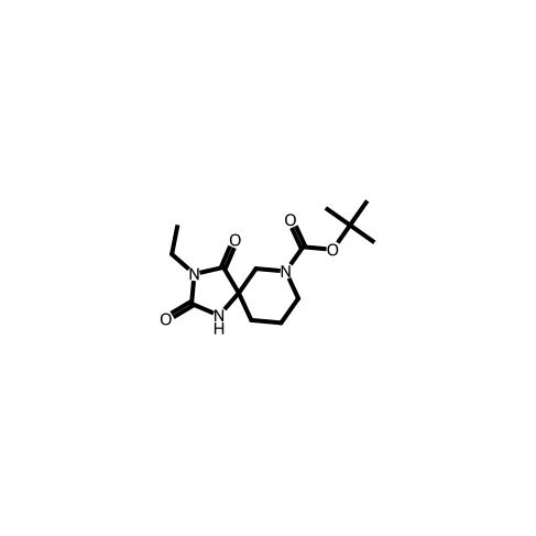 CCN1C(=O)NC2(CCCN(C(=O)OC(C)(C)C)C2)C1=O